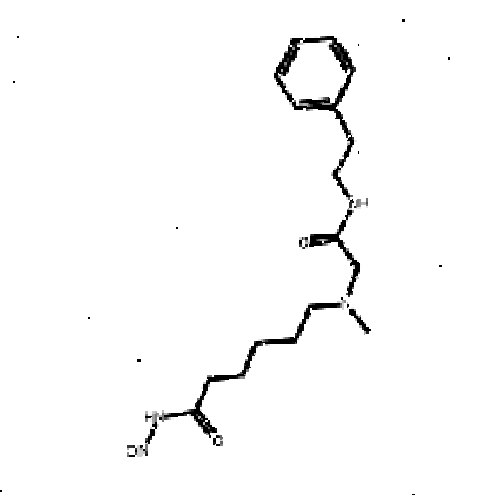 CN(CCCCCC(=O)NN=O)CC(=O)NCCc1ccccc1